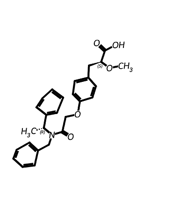 CO[C@@H](Cc1ccc(OCC(=O)N(Cc2ccccc2)[C@H](C)c2ccccc2)cc1)C(=O)O